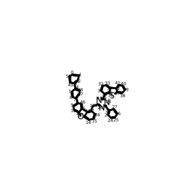 c1ccc(-c2ccc(-c3ccc4oc5cccc(Cc6nc(-c7ccccc7)nc(-c7cccc8c7sc7ccccc78)n6)c5c4c3)cc2)cc1